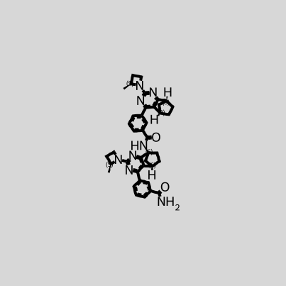 C[C@H]1CCN1c1nc(-c2cccc(C(=O)N[C@@]34CC[C@@H](C3)c3c(-c5cccc(C(N)=O)c5)nc(N5CC[C@@H]5C)nc34)c2)c2c(n1)[C@H]1CC[C@@H]2C1